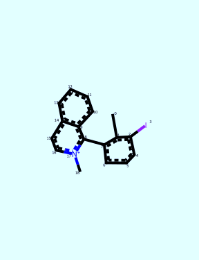 Cc1c(I)cccc1-c1c2ccccc2cc[n+]1C